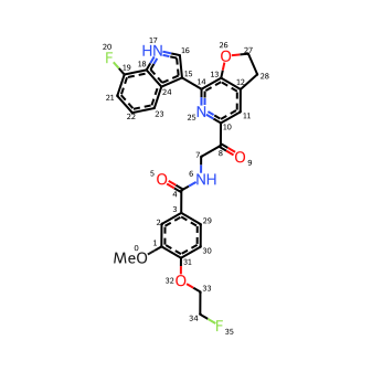 COc1cc(C(=O)NCC(=O)c2cc3c(c(-c4c[nH]c5c(F)cccc45)n2)OCC3)ccc1OCCF